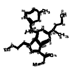 CCOCCn1nc(C(=O)NC)c2nc(N(C)CCO)nc(Nc3cc(C)ccn3)c21